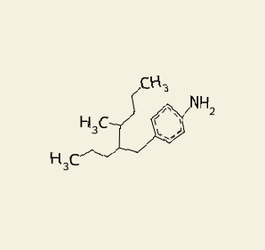 CCCC(C)C(CCC)Cc1ccc(N)cc1